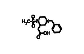 CS(=O)(=O)N1CCN(Cc2ccccc2)CC1CC(=O)O